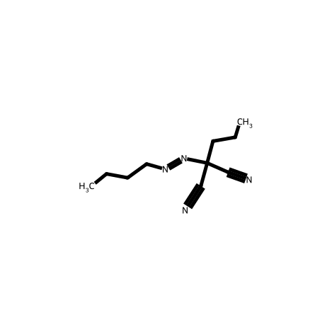 CCCCN=NC(C#N)(C#N)CCC